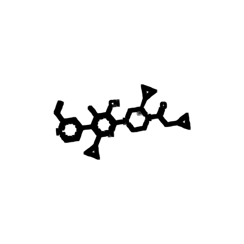 C=Cc1cc(-c2c(C3CC3)nc(N3CCN(C(=O)CC4CC4)[C@H](C4CC4)C3)c(C#N)c2C)ccn1